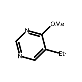 C[CH]c1cncnc1OC